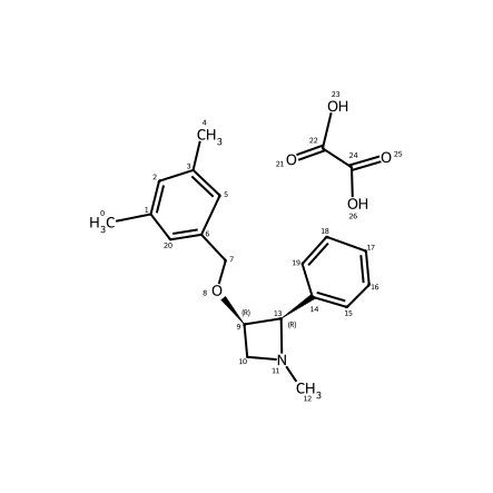 Cc1cc(C)cc(CO[C@@H]2CN(C)[C@@H]2c2ccccc2)c1.O=C(O)C(=O)O